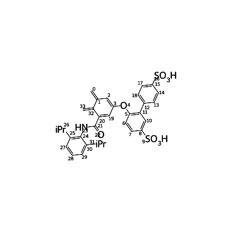 C=c1cc(Oc2ccc(S(=O)(=O)O)cc2-c2ccc(S(=O)(=O)O)cc2)cc(C(=O)Nc2c(C(C)C)cccc2C(C)C)c1=C